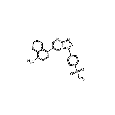 Cc1ccc(-c2cnc3nnc(-c4ccc(S(C)(=O)=O)cc4)n3c2)c2ccccc12